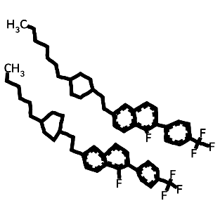 CCCCCCC1CCC(CCc2ccc3c(F)c(-c4ccc(C(F)(F)F)cc4)ccc3c2)CC1.CCCCCCCC1CCC(CCc2ccc3c(F)c(-c4ccc(C(F)(F)F)cc4)ccc3c2)CC1